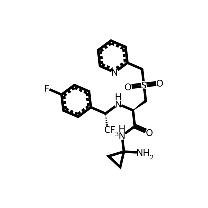 NC1(NC(=O)[C@H](CS(=O)(=O)Cc2ccccn2)N[C@@H](c2ccc(F)cc2)C(F)(F)F)CC1